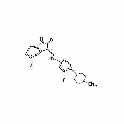 CC1CCN(c2ccc(N/C=C3/C(=O)Nc4ccc(F)cc43)cc2F)CC1